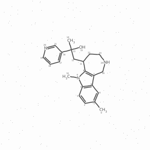 Cc1ccc2c(c1)c1c(n2C)C(CC(C)(O)c2cccnc2)CCNC1